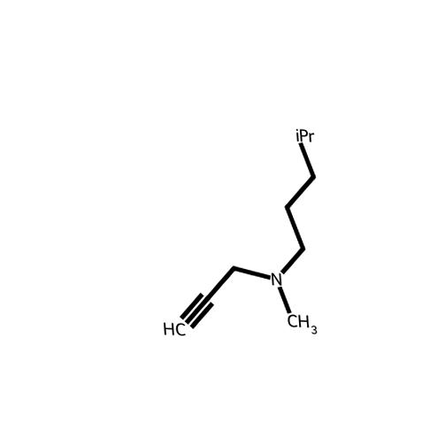 C#CCN(C)CCCC(C)C